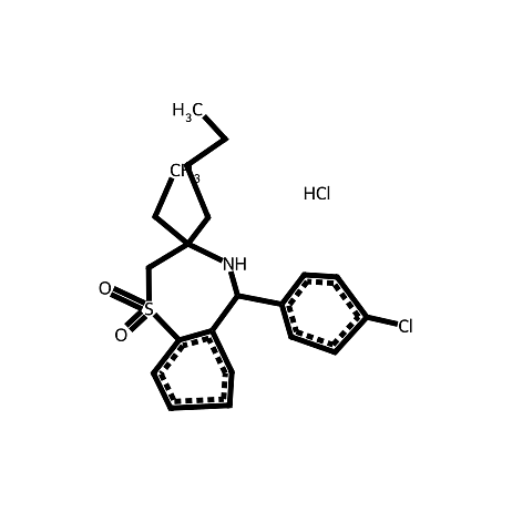 CCCCC1(CC)CS(=O)(=O)c2ccccc2C(c2ccc(Cl)cc2)N1.Cl